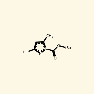 Cc1cc(O)nn1C(=O)OC(C)(C)C